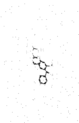 COc1cc2nc(NC(C)C)ncc2cc1C(=O)c1ccccc1